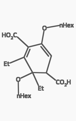 CCCCCCOC1=CC(C(=O)O)C(CC)(OCCCCCC)C(CC)=C1C(=O)O